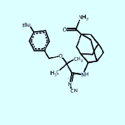 CC(C)(OCc1ccc(C(C)(C)C)cc1)/C(=N/C#N)NC1C2CC3CC1CC(C(N)=O)(C3)C2